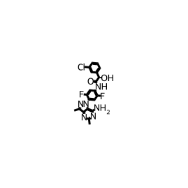 Cc1nc(N)c2c(n1)c(C)nn2-c1cc(F)c(NC(=O)[C@H](O)c2cccc(Cl)c2)cc1F